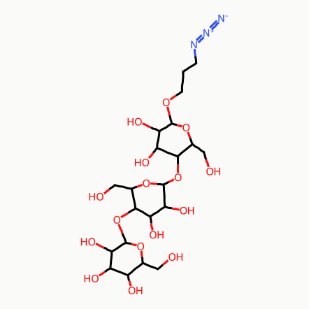 [N-]=[N+]=NCCCOC1OC(CO)C(OC2OC(CO)C(OC3OC(CO)C(O)C(O)C3O)C(O)C2O)C(O)C1O